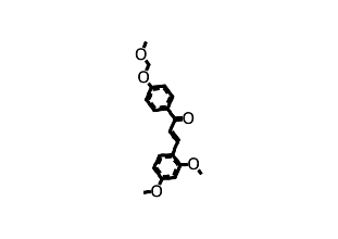 COCOc1ccc(C(=O)/C=C/c2ccc(OC)cc2OC)cc1